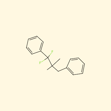 CC(C)(Cc1ccccc1)C(F)(F)c1ccccc1